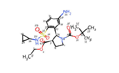 CCOC(=O)[C@@H]1CCN(C(=O)OC(C)(C)C)[C@@H]1c1cc(N)ccc1S(=O)(=O)NC1CC1